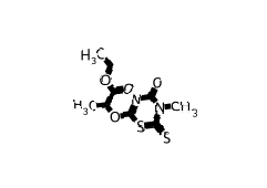 CCOC(=O)C(C)Oc1nc(=O)n(C)c(=S)s1